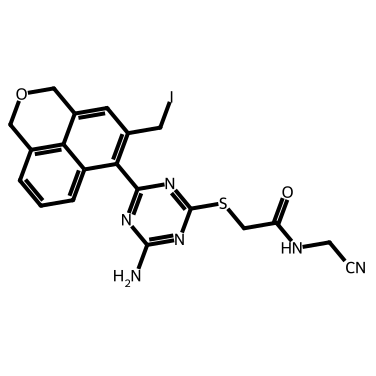 N#CCNC(=O)CSc1nc(N)nc(-c2c(CI)cc3c4c(cccc24)COC3)n1